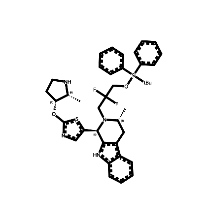 C[C@@H]1Cc2c([nH]c3ccccc23)[C@@H](c2cnc(O[C@@H]3CCN[C@@H]3C)s2)N1CC(F)(F)CO[Si](c1ccccc1)(c1ccccc1)C(C)(C)C